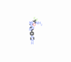 NCC(Cn1ncn(-c2cnc(-c3ccc(N4CCNCC4)cc3)cn2)c1=O)=C(F)F